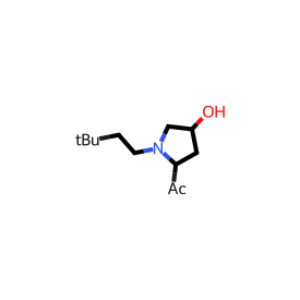 CC(=O)C1CC(O)CN1CCC(C)(C)C